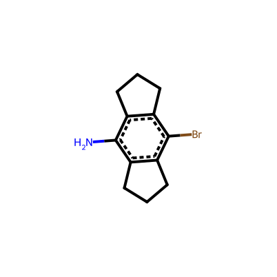 Nc1c2c(c(Br)c3c1CCC3)CCC2